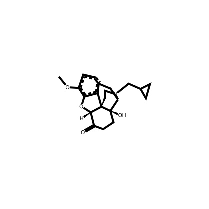 COc1ccc2c3c1O[C@H]1C(=O)CC[C@@]4(O)C(C2)N(CC2CC2)CC[C@]314